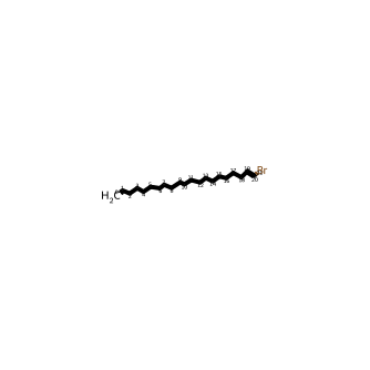 C=CCCCCCCCCCCCCCCCCCC=CBr